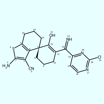 N#Cc1c(N)sc2c1[C@]1(CCCC(C(=N)c3ccnc(Cl)n3)=C1O)CCC2